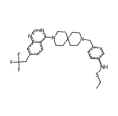 CCSNc1ccc(CN2CCC3(CC2)CCN(c2ncnc4cc(CC(F)(F)F)ccc24)CC3)cc1